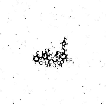 Cc1cccc(C)c1-c1cc([C@@H](CCC(=O)[Si@H](CC(C)C)n2nc(CCN3CC(F)C3)cc(C(F)(F)F)c2=O)CC(=O)O)c(F)c(C(F)(F)F)c1